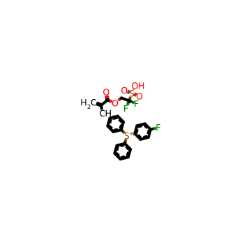 C=C(C)C(=O)OCC(F)(F)S(=O)(=O)O.Fc1ccc([S+](c2ccccc2)c2ccccc2)cc1